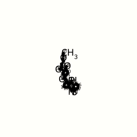 CCOCCCN1C(=O)c2ccc(C(=O)Nc3cccc4c3C(=O)c3cccc5snc-4c35)cc2C1=O